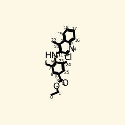 CCOC(=O)c1cc(C)c(Nc2c(Cl)nc3ccccc3c2C)c(C)c1